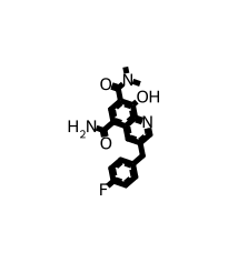 CN(C)C(=O)c1cc(C(N)=O)c2cc(Cc3ccc(F)cc3)cnc2c1O